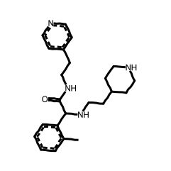 Cc1ccccc1C(NCCC1CCNCC1)C(=O)NCCc1ccncc1